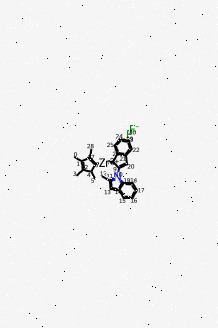 CC1=C(C)C(C)[C]([Zr+2][CH]2C(n3c(C)cc4ccccc43)=Cc3ccccc32)=C1C.[F-].[F-]